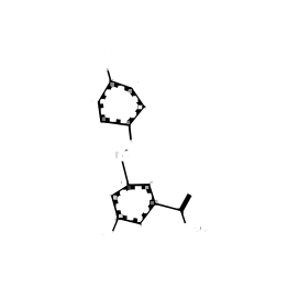 COC(=O)c1cc(C)cc(NSc2ccc(C)cc2)c1